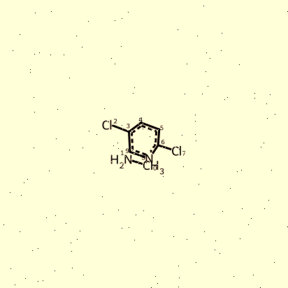 CN.Clc1ccc(Cl)nc1